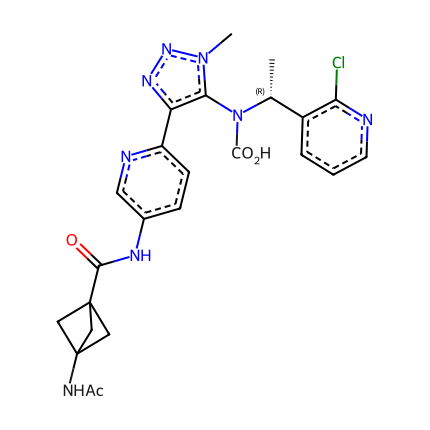 CC(=O)NC12CC(C(=O)Nc3ccc(-c4nnn(C)c4N(C(=O)O)[C@H](C)c4cccnc4Cl)nc3)(C1)C2